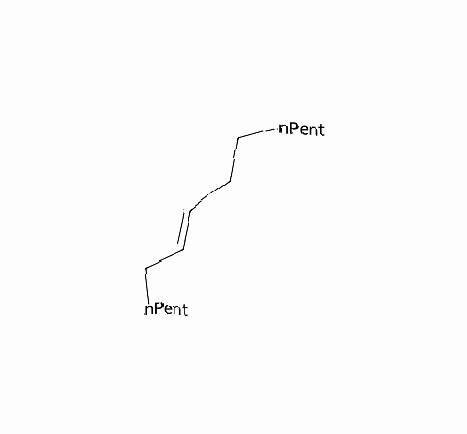 [CH2]CCCCCC=CCCCCCC[CH2]